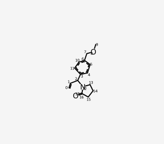 C=CC(c1ccc(COC)cc1)N1CCCC1=O